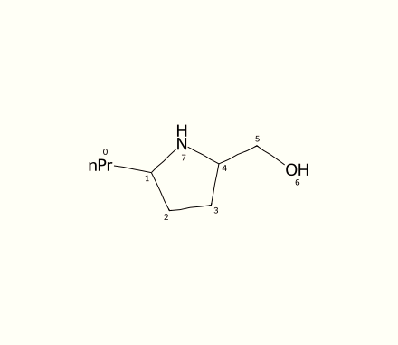 CCCC1CCC(CO)N1